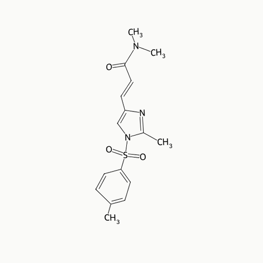 Cc1ccc(S(=O)(=O)n2cc(C=CC(=O)N(C)C)nc2C)cc1